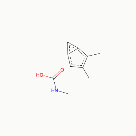 CNC(=O)O.Cc1cc2cc-2c1C